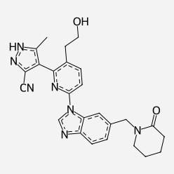 Cc1[nH]nc(C#N)c1-c1nc(-n2cnc3ccc(CN4CCCCC4=O)cc32)ccc1CCO